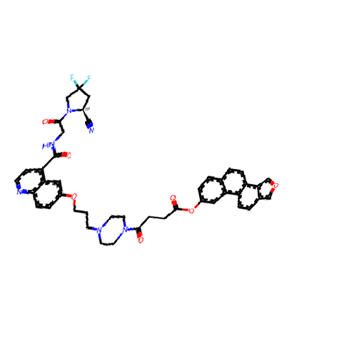 N#C[C@@H]1CC(F)(F)CN1C(=O)CNC(=O)c1ccnc2ccc(OCCCN3CCN(C(=O)CCC(=O)Oc4ccc5ccc6c7cocc7ccc6c5c4)CC3)cc12